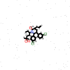 C=CC[C@@]1(C)CC(c2cccc(Cl)c2)C(c2ccc(Cl)cc2)N(C(CC)CCC(C)(C)O)C1=O